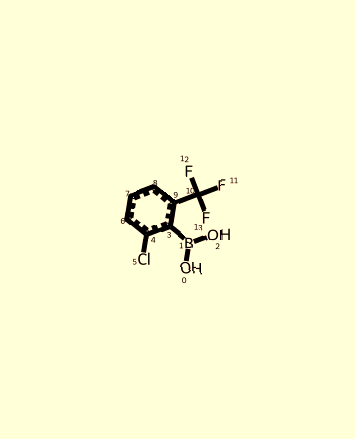 OB(O)c1c(Cl)cccc1C(F)(F)F